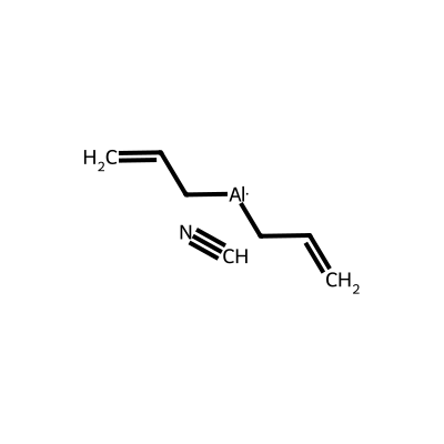 C#N.C=C[CH2][Al][CH2]C=C